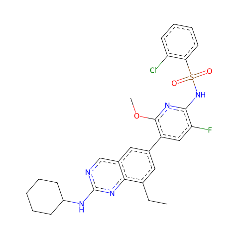 CCc1cc(-c2cc(F)c(NS(=O)(=O)c3ccccc3Cl)nc2OC)cc2cnc(NC3CCCCC3)nc12